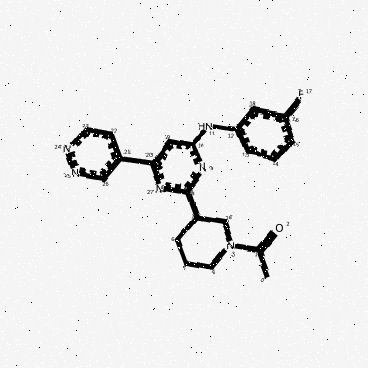 CC(=O)N1CCCC(c2nc(Nc3cccc(F)c3)cc(-c3ccnnc3)n2)C1